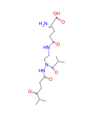 CC(C)C(=O)CCC(=O)NN(CCNC(=O)CC[C@H](N)C(=O)O)C(=O)C(C)C